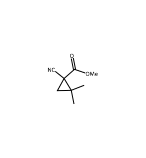 COC(=O)C1(C#N)CC1(C)C